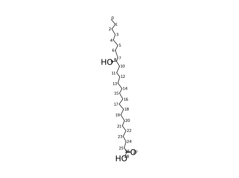 CCCCCCCCC(O)CCCCCCCCCCCCCCCCC(=O)O